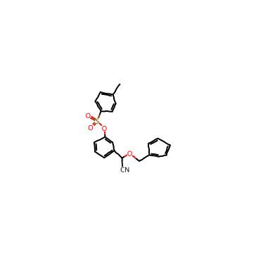 Cc1ccc(S(=O)(=O)Oc2cccc(C(C#N)OCc3ccccc3)c2)cc1